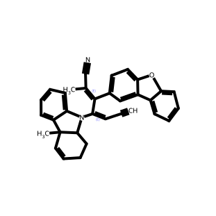 C#C/C=C(\C(=C(/C)C#N)c1ccc2oc3ccccc3c2c1)N1c2ccccc2C2(C)C=CCCC12